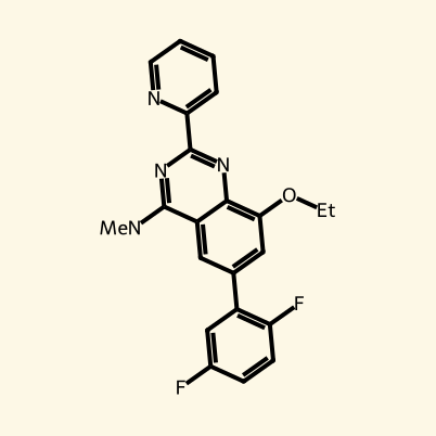 CCOc1cc(-c2cc(F)ccc2F)cc2c(NC)nc(-c3ccccn3)nc12